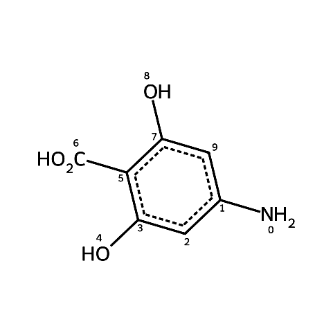 Nc1cc(O)c(C(=O)O)c(O)c1